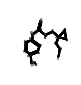 O=C(OCC1(CCF)CC1)Oc1ccc([N+](=O)[O-])cc1